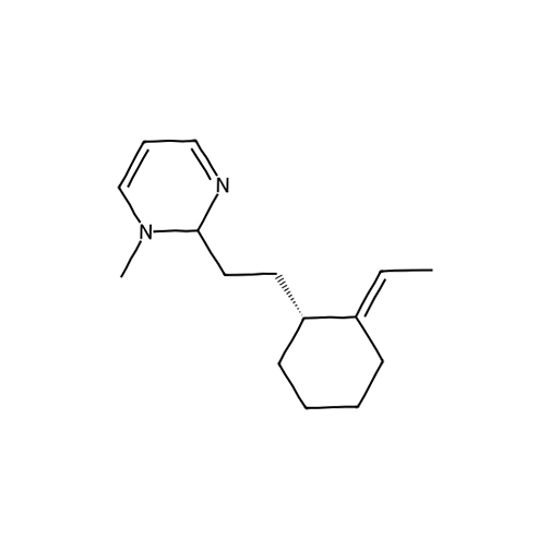 C/C=C1\CCCC[C@@H]1CCC1N=CC=CN1C